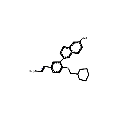 COc1ccc2cc(-c3cc(/C=C/C(=O)O)ccc3OCC3CCCCC3)ccc2c1